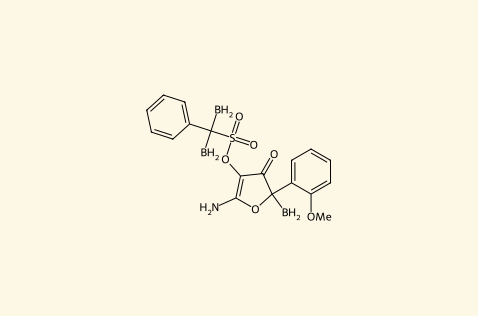 BC1(c2ccccc2OC)OC(N)=C(OS(=O)(=O)C(B)(B)c2ccccc2)C1=O